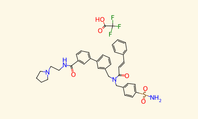 NS(=O)(=O)c1ccc(CN(Cc2cccc(-c3cccc(C(=O)NCCN4CCCC4)c3)c2)C(=O)/C=C/c2ccccc2)cc1.O=C(O)C(F)(F)F